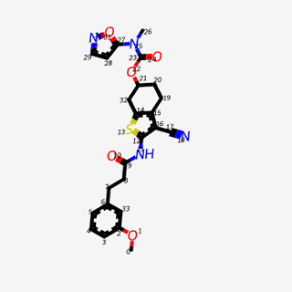 COc1cccc(CCC(=O)Nc2sc3c(c2C#N)CCC(OC(=O)N(C)c2ccno2)C3)c1